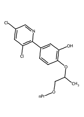 CCCOCC(C)Oc1ccc(-c2ncc(Cl)cc2Cl)cc1O